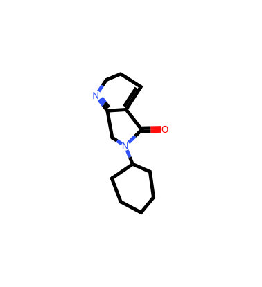 O=C1C2=CCCN=C2CN1C1CCCCC1